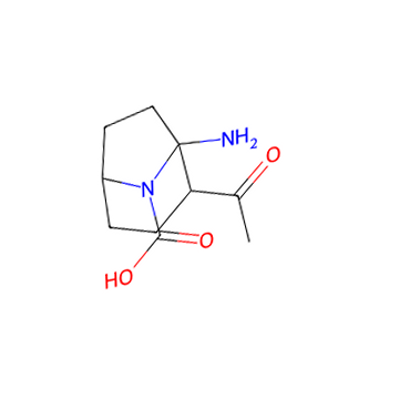 CC(=O)C1CCC2CCC1(N)N2C(=O)O